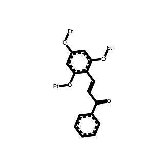 CCOc1cc(OCC)c(/C=C/C(=O)c2ccccc2)c(OCC)c1